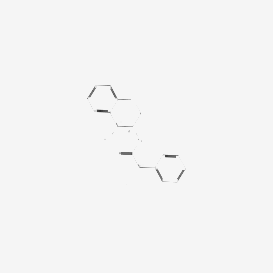 C[C@H](C(=O)N[C@@H]1COc2ccccc2[C@@H]1O)c1ccccc1